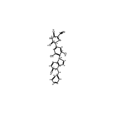 N#Cc1nn(-c2cc(Cl)c(-n3ccc4c3ccc(=O)n4Cc3ccncc3)c(Cl)c2)c(=O)[nH]c1=O